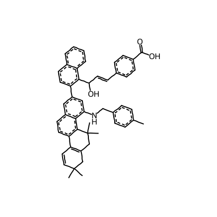 Cc1ccc(CNc2cc(-c3ccc4ccccc4c3C(O)C=Cc3ccc(C(=O)O)cc3)cc3ccc4c(c23)C(C)(C)CC2=C4C=CC(C)(C)C2)cc1